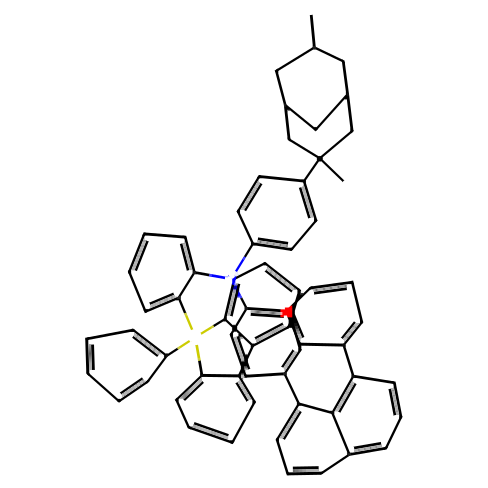 CC1CC2CC(C1)CC(C)(c1ccc(N(c3ccc(-c4cccc5cccc(-c6ccccc6)c45)cc3)c3ccccc3S3(c4ccccc4)c4ccccc4-c4ccccc43)cc1)C2